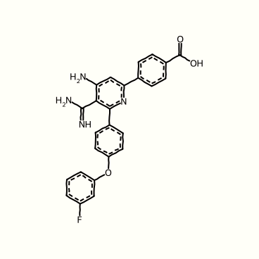 N=C(N)c1c(N)cc(-c2ccc(C(=O)O)cc2)nc1-c1ccc(Oc2cccc(F)c2)cc1